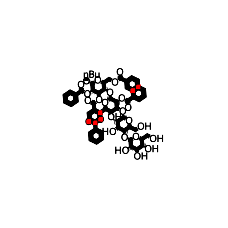 CCCCO[C@@H]1OC(COC(=O)c2ccccc2)[C@@H](O[C@@H]2OC(COC(=O)c3ccccc3)[C@H](O)C(O[C@@H]3OC(CO)[C@@H](O[C@@H]4OC(CO)[C@H](O)C(O)[C@@H]4O)C(O)[C@@H]3C)[C@@H]2OC(=O)c2ccccc2)C(OC(=O)c2ccccc2)[C@@H]1OC(=O)c1ccccc1